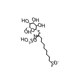 C[S+]([O-])CCCCCCCCC(=NOS(=O)(=O)O)S[C@@H]1O[C@H](CO)[C@@H](O)[C@H](O)[C@H]1O